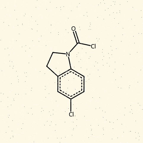 O=C(Cl)N1CCc2cc(Cl)ccc21